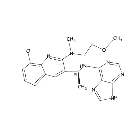 COCCN(C)c1nc2c(Cl)cccc2cc1[C@H](C)Nc1ncnc2[nH]cnc12